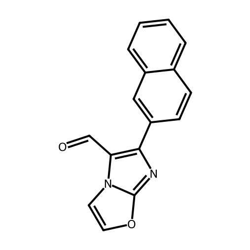 O=Cc1c(-c2ccc3ccccc3c2)nc2occn12